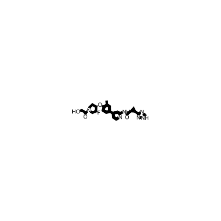 Cc1cc(-c2ccnc(NC(=O)C3CC3c3nc[nH]n3)c2)ccc1O[C@H]1CCN(C(=O)CO)C[C@H]1F